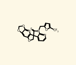 FC(F)(F)c1ccc(CN2C(=S)C3(COc4cc5c(nc43)OCO5)c3cccnc32)o1